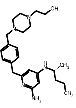 CCC[C@@H](C)Nc1cc(N)nc(Cc2ccc(CN3CCN(CCO)CC3)cc2)c1